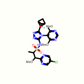 COc1ncnc(OC)c1-n1c(NS(=O)(=O)C(C)C(OC)c2ncc(Cl)cn2)nnc1C1C2CC1C2C(F)(F)F